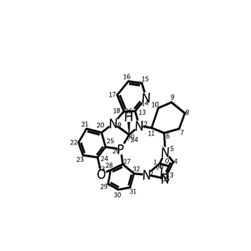 C[C@H]1N2N=CN1C1CCCCC1N1c3ncccc3N3c4cccc5c4P(c4c(cccc42)O5)[C@H]31